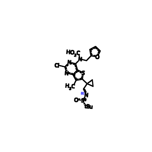 Cc1c(C2(/C=N/[S@+]([O-])C(C)(C)C)CC2)sc2c(N(Cc3ccco3)C(=O)O)nc(Cl)nc12